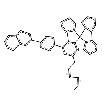 C/C=C\C=C/Cc1nc(-c2ccc(-c3ccc4ccccc4c3)cc2)c2c(n1)C1(c3ccccc3-c3ccccc31)c1ccccc1-2